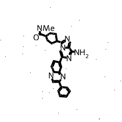 CNC(=O)C1CCC(c2ncc3c(N)nc(-c4ccc5ncc(-c6ccccc6)nc5c4)cn23)CC1